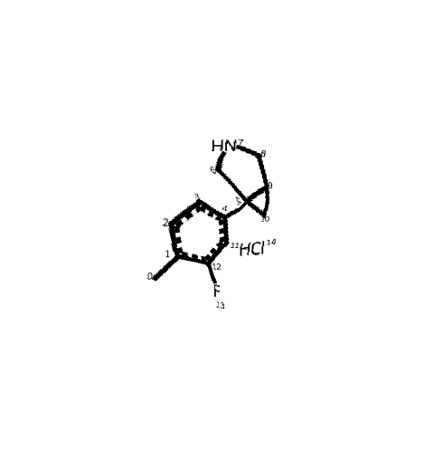 Cc1ccc(C23CNCC2C3)cc1F.Cl